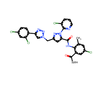 CNC(=O)c1cc(Cl)cc(C)c1NC(=O)c1cc(Cn2cc(-c3ccc(Cl)cc3Cl)nn2)nn1-c1ncccc1Cl